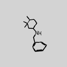 CC1CCC(NCc2ccccc2)CC1(C)C